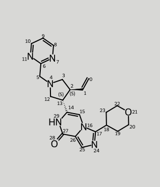 C=C[C@@H]1CN(Cc2ncccn2)C[C@H]1c1cn2c(C3CCOCC3)ncc2c(=O)[nH]1